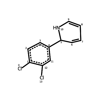 Clc1ccc(C2C=CC=CN2)cc1Cl